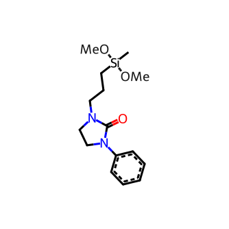 CO[Si](C)(CCCN1CCN(c2ccccc2)C1=O)OC